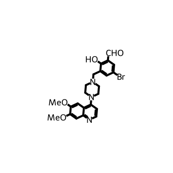 COc1cc2nccc(N3CCN(Cc4cc(Br)cc(C=O)c4O)CC3)c2cc1OC